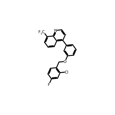 Fc1ccc(COc2cccc(-c3[c]cnc4c(C(F)(F)F)cccc34)c2)c(Cl)c1